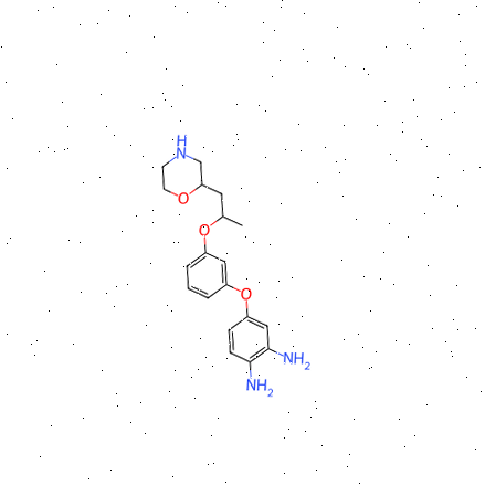 CC(CC1CNCCO1)Oc1cccc(Oc2ccc(N)c(N)c2)c1